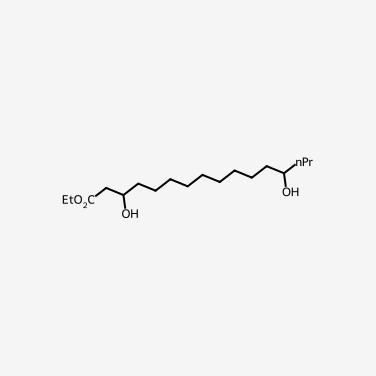 CCCC(O)CCCCCCCCCC(O)CC(=O)OCC